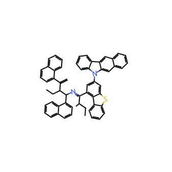 C=C(c1cccc2ccccc12)C(CC)C(/N=C(/c1cc(-n2c3ccccc3c3cc4ccccc4cc32)cc2sc3ccccc3c12)C(C)CC)c1cccc2ccccc12